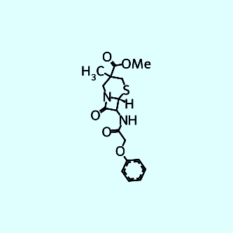 COC(=O)C1(C)CS[C@@H]2C(NC(=O)COc3ccccc3)C(=O)N2C1